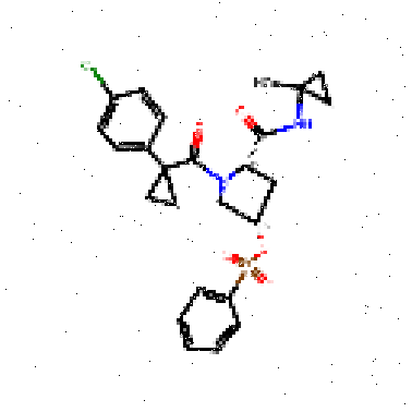 N#CC1(NC(=O)[C@@H]2C[C@H](OS(=O)(=O)c3ccccc3)CN2C(=O)C2(c3ccc(Cl)cc3)CC2)CC1